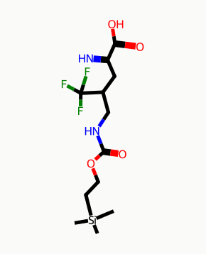 C[Si](C)(C)CCOC(=O)NCC(CC(=N)C(=O)O)C(F)(F)F